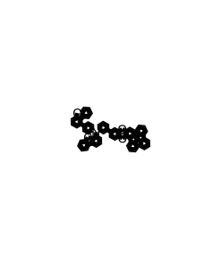 c1cc(-c2ccc3c(c2)Oc2ccc4c(c2O3)-c2ccccc2C42c3ccccc3-c3ccccc32)cc(N(c2ccc(-c3cccc4oc5ccccc5c34)cc2)c2cccc3c2oc2ccccc23)c1